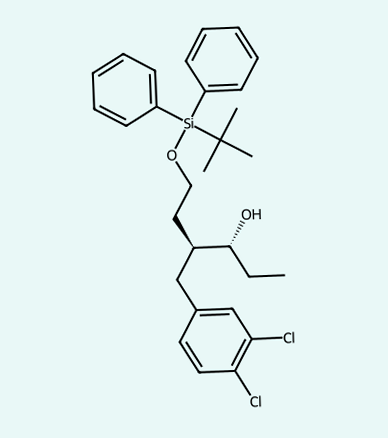 CC[C@@H](O)[C@H](CCO[Si](c1ccccc1)(c1ccccc1)C(C)(C)C)Cc1ccc(Cl)c(Cl)c1